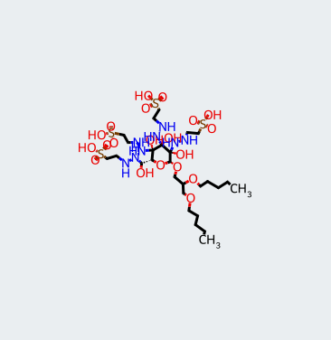 CCCCCOCC(CO[C@H]1O[C@H](C(O)NNCCS(=O)(=O)O)[C@](O)(NNCCS(=O)(=O)O)[C@@](O)(NNCCS(=O)(=O)O)[C@]1(O)NNCCS(=O)(=O)O)OCCCCC